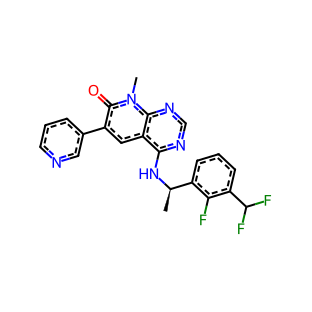 C[C@@H](Nc1ncnc2c1cc(-c1cccnc1)c(=O)n2C)c1cccc(C(F)F)c1F